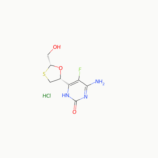 Cl.Nc1nc(=O)[nH]c([C@@H]2CS[C@H](CO)O2)c1F